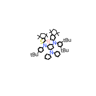 CC(C)(C)c1ccc(N2c3cc(N(c4ccccc4)c4ccccc4)cc4c3B(c3cc5c(cc3N4c3cc(C(C)(C)C)cc(C(C)(C)C)c3)C(C)(C)CCC5(C)C)c3c2sc2c3C(C)(C)CCC2(C)C)cc1